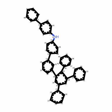 c1ccc(-c2ccc(Nc3ccc(-c4cccc(-c5cc(-c6ccccc6)cc(-c6ccccc6)c5-c5ccccc5)c4)cc3)cc2)cc1